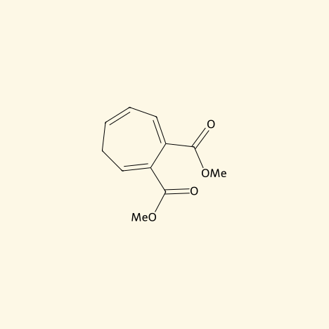 COC(=O)C1=CC=CCC=C1C(=O)OC